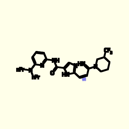 CCCN(CCC)c1cccc(NC(=O)c2cnc(/C=C\C(=N)N3CCCC(C(F)(F)F)C3)[nH]2)n1